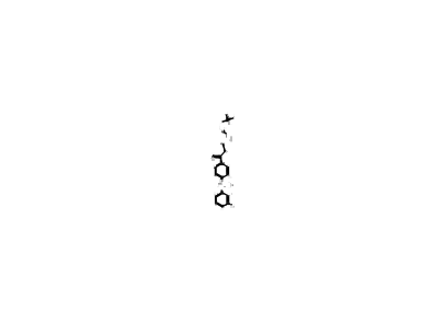 CC(C)(C)OC(=O)NCCc1coc2cc(S(=O)(=O)c3cccc(F)c3)ccc12